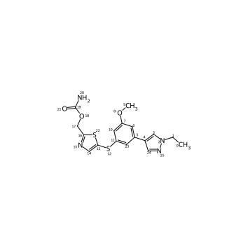 CCn1cc(-c2cc(OC)cc(Sc3cnc(COC(N)=O)s3)c2)cn1